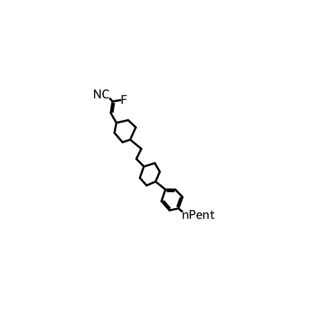 CCCCCc1ccc(C2CCC(CCC3CCC(C=C(F)C#N)CC3)CC2)cc1